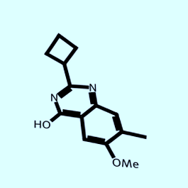 COc1cc2c(O)nc(C3CCC3)nc2cc1C